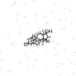 C[C@@H]1CC2=CC(=O)CC[C@]2(C)[C@H]2CC[C@]3(C)[C@H](O)C[C@H]4C[C@]43[C@H]12